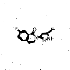 O=c1c2cc(F)ccc2ccn1-c1cc(F)[nH]n1